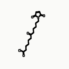 O=C(Cl)CCCCCC(=O)CCCCCN1C(=O)C=CC1=O